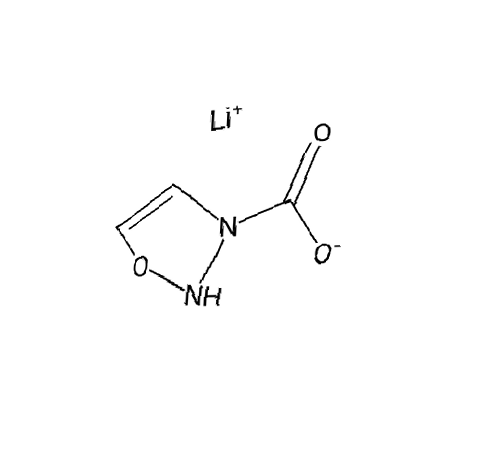 O=C([O-])N1C=CON1.[Li+]